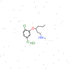 CCCC(CCNC)Oc1cc(Cl)ccc1Cl.Cl